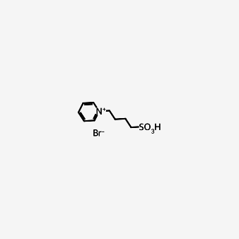 O=S(=O)(O)CCCC[n+]1ccccc1.[Br-]